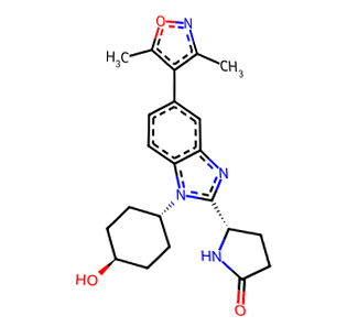 Cc1noc(C)c1-c1ccc2c(c1)nc([C@@H]1CCC(=O)N1)n2[C@H]1CC[C@H](O)CC1